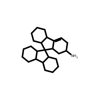 NC1CC=C2C3CCCCC3C3(C2C1)C1CCCCC1C1CCCCC13